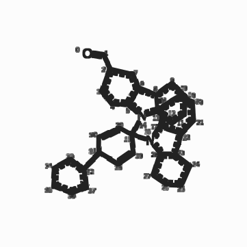 O=Cc1ccc2c(c1)c1ccccc1n2C1(n2c3ccccc3c3ccccc32)C=CC(c2ccccc2)C=C1